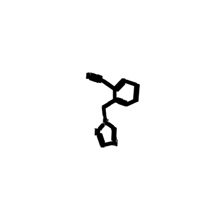 N#Cc1ccccc1Cn1cncn1